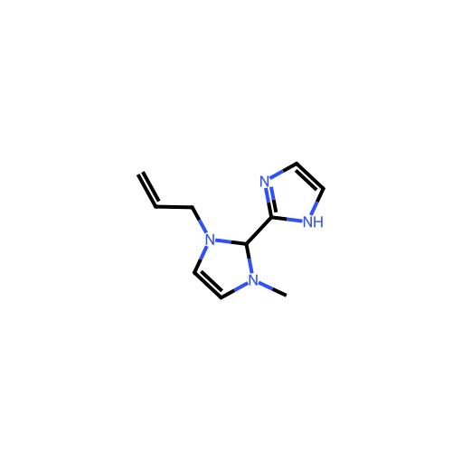 C=CCN1C=CN(C)C1c1ncc[nH]1